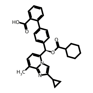 Cc1ccc([C@H](OC(=O)C2CCCCC2)c2ccc(-c3ccccc3C(=O)O)cc2)n2cc(C3CC3)nc12